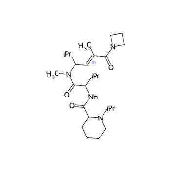 C/C(=C\C(C(C)C)N(C)C(=O)C(NC(=O)C1CCCCN1C(C)C)C(C)C)C(=O)N1CCC1